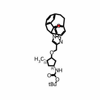 C[C@H]1C[C@@H](NC(=O)OC(C)(C)C)CC1OCc1cn(CC(=O)c2cc3ccc2CCc2ccc(cc2)CC3)nn1